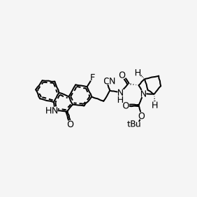 CC(C)(C)OC(=O)N1[C@@H]2CC[C@@H](C2)[C@H]1C(=O)NC(C#N)Cc1cc2c(=O)[nH]c3ccccc3c2cc1F